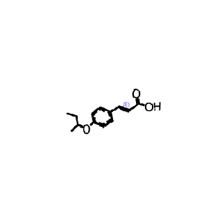 CCC(C)Oc1ccc(/C=C/C(=O)O)cc1